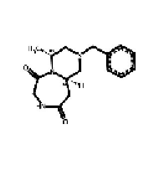 C[C@@H]1CN(Cc2ccccc2)C[C@H]2CC(=O)NCC(=O)N21